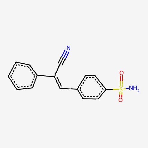 N#CC(=Cc1ccc(S(N)(=O)=O)cc1)c1ccccc1